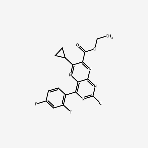 CCOC(=O)c1nc2nc(Cl)nc(-c3ccc(F)cc3F)c2nc1C1CC1